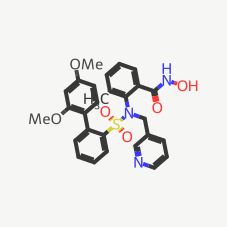 COc1ccc(-c2ccccc2S(=O)(=O)N(Cc2cccnc2)c2c(C)cccc2C(=O)NO)c(OC)c1